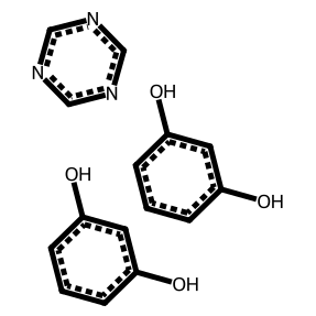 Oc1cccc(O)c1.Oc1cccc(O)c1.c1ncncn1